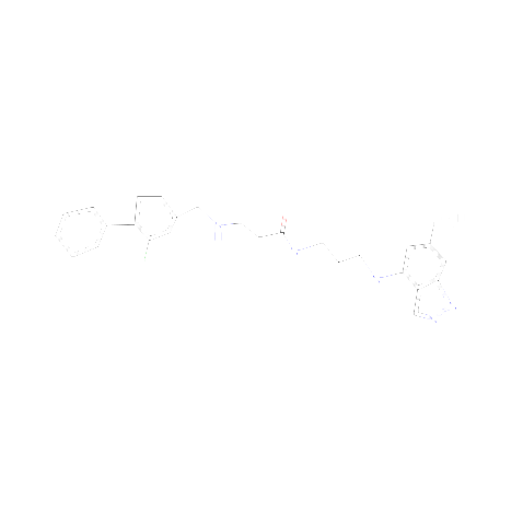 O=C(CCNCc1ccc(-c2ccccc2)c(Cl)c1)NCCCNc1cc(C(=O)O)cc2[nH]ncc12